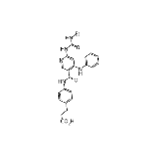 CCNC(=O)Nc1cc(Nc2ccccc2)c(C(=O)Nc2ccc(CCC(=O)O)cc2)cn1